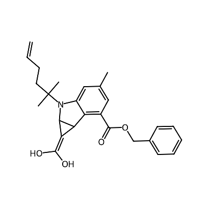 C=CCCC(C)(C)N1c2cc(C)cc(C(=O)OCc3ccccc3)c2C2C(=C(O)O)C21